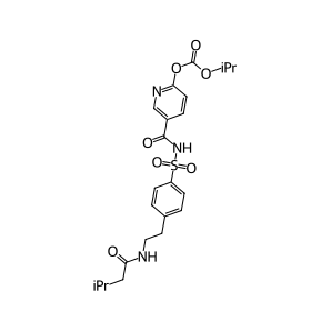 CC(C)CC(=O)NCCc1ccc(S(=O)(=O)NC(=O)c2ccc(OC(=O)OC(C)C)nc2)cc1